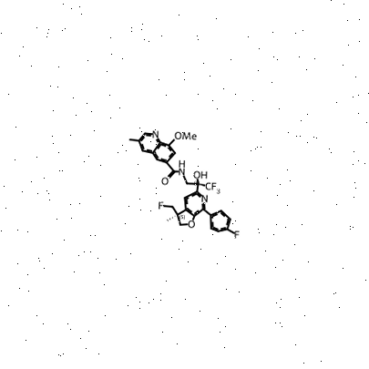 COc1cc(C(=O)NC[C@](O)(c2cc3c(c(-c4ccc(F)cc4)n2)OC[C@@]3(C)CF)C(F)(F)F)cc2cc(C)cnc12